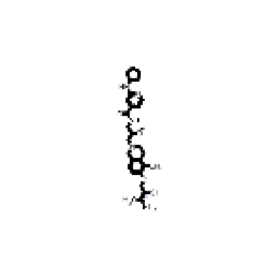 C/C(N)=C(/O)COc1ccc2c(c1C)CCN(CC(CNC(=O)c1ccnc(NC3CCCC3)c1)OI)C2